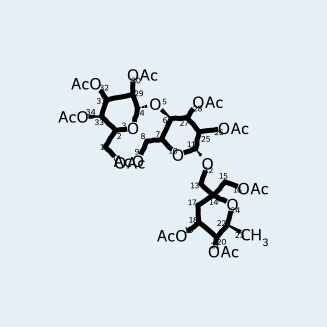 CC(=O)OCC1O[C@@H](O[C@@H]2C(COC(C)=O)O[C@@H](OCC3(COC(C)=O)CC(OC(C)=O)C(OC(C)=O)[C@H](C)O3)C(OC(C)=O)C2OC(C)=O)C(OC(C)=O)C(OC(C)=O)[C@@H]1OC(C)=O